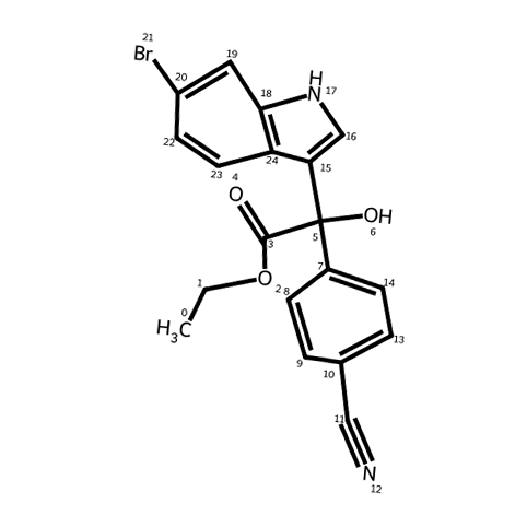 CCOC(=O)C(O)(c1ccc(C#N)cc1)c1c[nH]c2cc(Br)ccc12